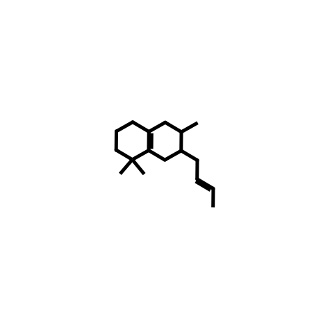 CC=CCC1CC2=C(CCCC2(C)C)CC1C